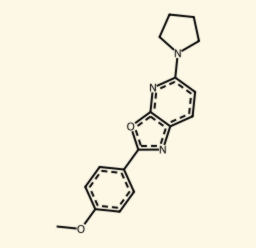 COc1ccc(-c2nc3ccc(N4CCCC4)nc3o2)cc1